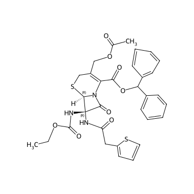 CCOC(=O)N[C@]1(NC(=O)Cc2cccs2)C(=O)N2C(C(=O)OC(c3ccccc3)c3ccccc3)=C(COC(C)=O)CS[C@@H]21